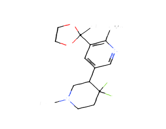 COc1ncc(C2CN(C(=O)O)CCC2(F)F)cc1C1(C)OCCO1